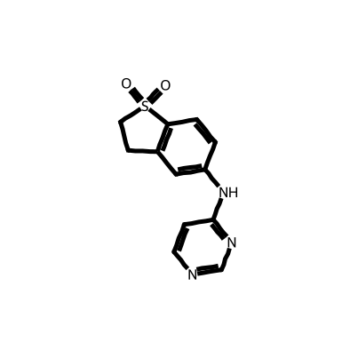 O=S1(=O)CCc2cc(Nc3ccncn3)ccc21